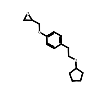 c1cc(OCC2CO2)ccc1CCOC1CCCC1